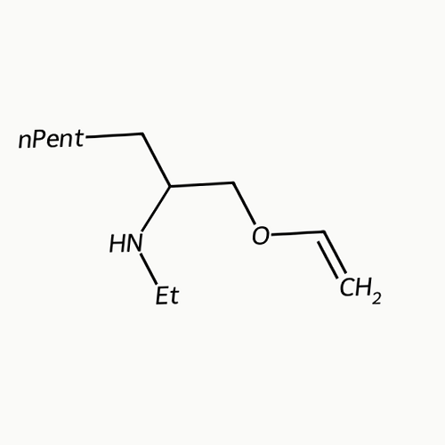 C=COCC(CCCCCC)NCC